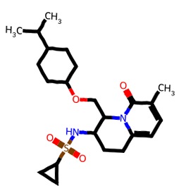 Cc1ccc2n(c1=O)C(COC1CCC(C(C)C)CC1)C(NS(=O)(=O)C1CC1)CC2